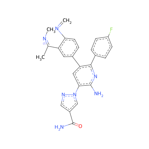 C=Nc1ccc(-c2cc(-n3cc(C(N)=O)cn3)c(N)nc2-c2ccc(F)cc2)cc1/C(C)=N\C